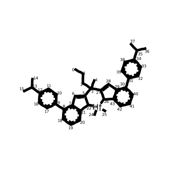 CCCC1(C)C2=Cc3c(-c4ccc(C(C)C)cc4)cccc3[CH]2[Hf]([CH3])([CH3])[CH]2C1=Cc1c(-c3ccc(C(C)C)cc3)cccc12